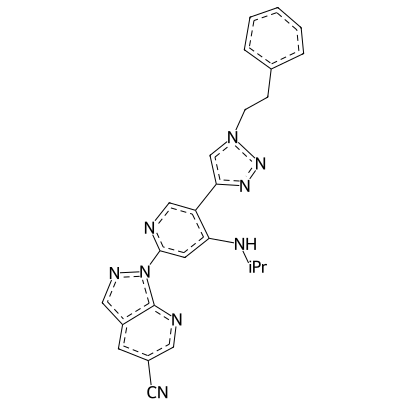 CC(C)Nc1cc(-n2ncc3cc(C#N)cnc32)ncc1-c1cn(CCc2ccccc2)nn1